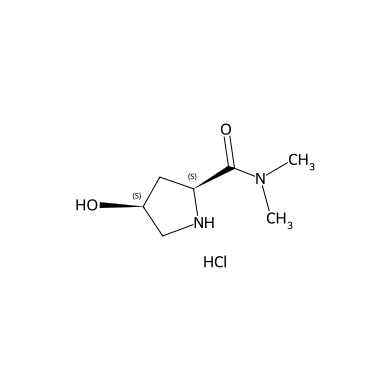 CN(C)C(=O)[C@@H]1C[C@H](O)CN1.Cl